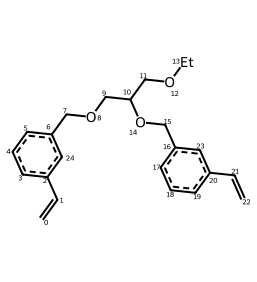 C=Cc1cccc(COCC(COCC)OCc2cccc(C=C)c2)c1